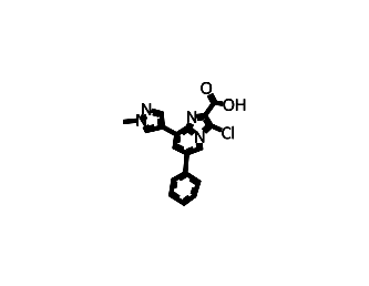 Cn1cc(-c2cc(-c3ccccc3)cn3c(Cl)c(C(=O)O)nc23)cn1